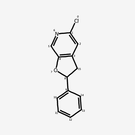 Clc1cc2c(cn1)OC(c1ccccc1)C2